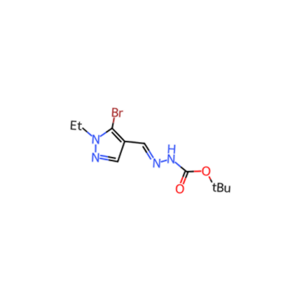 CCn1ncc(/C=N/NC(=O)OC(C)(C)C)c1Br